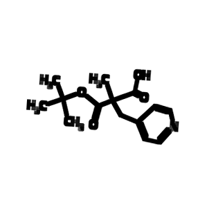 CC(C)(C)OC(=O)C(C)(Cc1ccncc1)C(=O)O